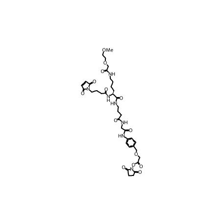 COCCOCC(=O)NCCCC[C@H](NC(=O)CCCN1C(=O)C=CC1=O)C(=O)NCCCC(=O)NCC(=O)Nc1ccc(COCC(=O)ON2C(=O)CCC2=O)cc1